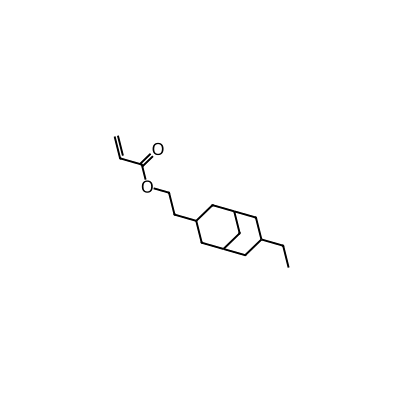 C=CC(=O)OCCC1CC2CC(CC)CC(C1)C2